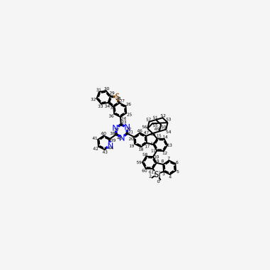 C[Si]1(C)c2ccccc2-c2c(-c3cccc4c3-c3ccc(-c5nc(-c6ccc7sc8ccccc8c7c6)nc(-c6ccccn6)n5)cc3C43C4CC5CC(C4)CC3C5)cccc21